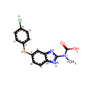 CN(C(=O)O)c1nc2cc(Sc3ccc(Cl)cc3)ccc2[nH]1